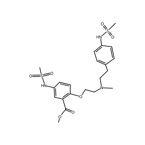 COC(=O)c1cc(NS(C)(=O)=O)ccc1OCCN(C)CCc1ccc(NS(C)(=O)=O)cc1